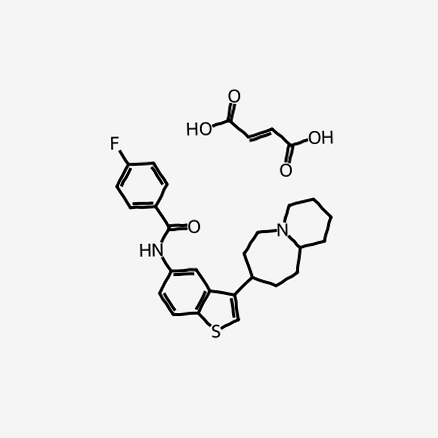 O=C(Nc1ccc2scc(C3CCC4CCCCN4CC3)c2c1)c1ccc(F)cc1.O=C(O)C=CC(=O)O